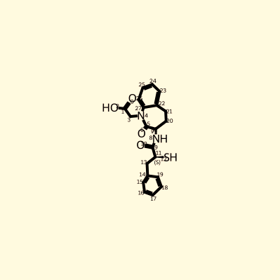 O=C(O)CN1C(=O)[C@H](NC(=O)[C@@H](S)Cc2ccccc2)CCc2ccccc21